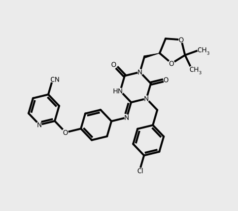 CC1(C)OC[C@H](Cn2c(=O)[nH]/c(=N\C3C=CC(Oc4cc(C#N)ccn4)=CC3)n(Cc3ccc(Cl)cc3)c2=O)O1